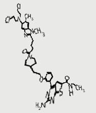 CCNC(=O)c1cc2c(-c3cccc(OCCC4CCN(C(=O)CCCc5nc6c(n5C)=CC(C)C(N(CCCl)CCCl)C=6)CC4)c3)nc(N)nc2s1